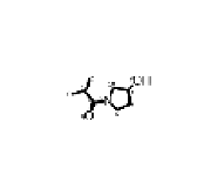 CC(C)C(=O)N1CC[C@H](O)C1